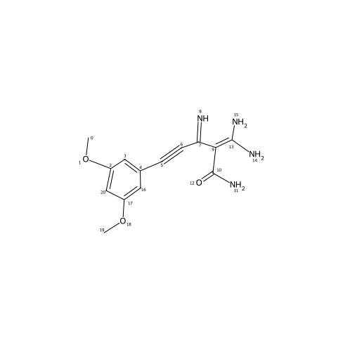 COc1cc(C#CC(=N)C(C(N)=O)=C(N)N)cc(OC)c1